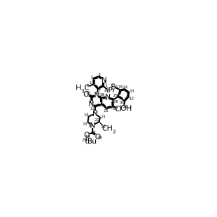 Cc1ccnc(C(C)C)c1-n1c(=O)nc(N2CCN(C(=O)OC(C)(C)C)[C@H](C)C2)c2cc(Cl)c(-c3c(O)cccc3F)nc21